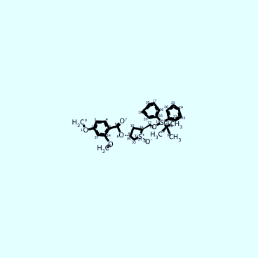 COc1ccc(C(=O)O[C@@H]2C[C@@H](CO[Si](c3ccccc3)(c3ccccc3)C(C)(C)C)[S@+]([O-])C2)c(OC)c1